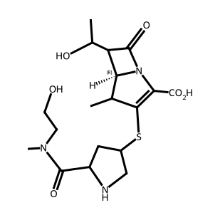 CC(O)C1C(=O)N2C(C(=O)O)=C(SC3CNC(C(=O)N(C)CCO)C3)C(C)[C@@H]12